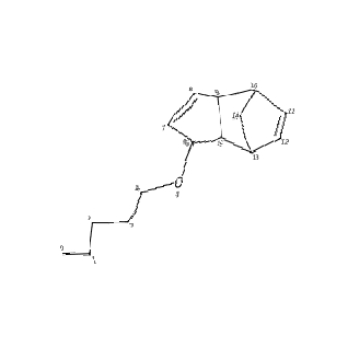 CCCCCOC1C=CC2C3C=CC(C3)C12